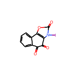 O=C1C(=O)c2c(oc(=O)n2I)-c2ccccc21